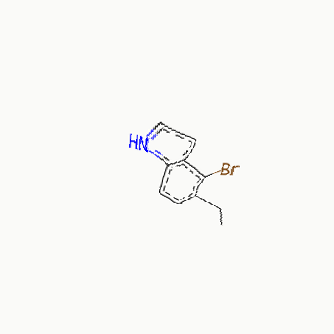 CCc1ccc2[nH]ccc2c1Br